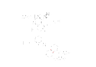 COc1ccc(CN(Cc2ccc(OC)cc2)c2cc(-c3nc4c5c(nc(SC)nc5c3F)N3CC5CCC(C3C(C)O4)N5C(=O)O)c(C3CC3)c(C)n2)cc1